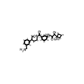 NCc1cccc(C2CCN(C(=O)c3cccc(NC(=O)C(=O)C4(O)CCC4)c3)CC2)c1